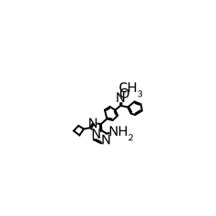 CON=C(c1ccccc1)c1ccc(-c2nc(C3CCC3)n3ccnc(N)c23)cc1